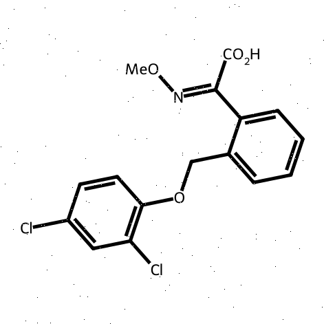 CON=C(C(=O)O)c1ccccc1COc1ccc(Cl)cc1Cl